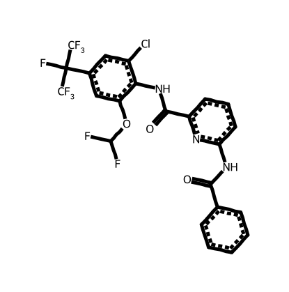 O=C(Nc1cccc(C(=O)Nc2c(Cl)cc(C(F)(C(F)(F)F)C(F)(F)F)cc2OC(F)F)n1)c1ccccc1